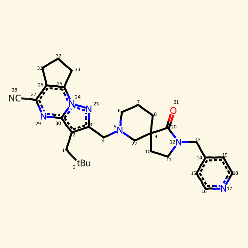 CC(C)(C)Cc1c(CN2CCCC3(CCN(Cc4ccncc4)C3=O)C2)nn2c3c(c(C#N)nc12)CCC3